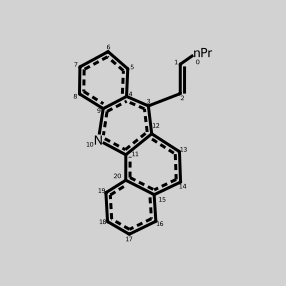 CCC/C=C/c1c2ccccc2nc2c1ccc1ccccc12